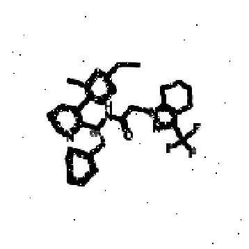 CCc1ccc(-c2cccnc2[C@@H](Cc2ccccc2)NC(=O)Cn2nc(C(F)(F)F)c3c2CCCC3)c(C)c1